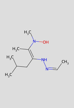 C/C=N\N/C(CC(C)C)=C(/C)N(C)O